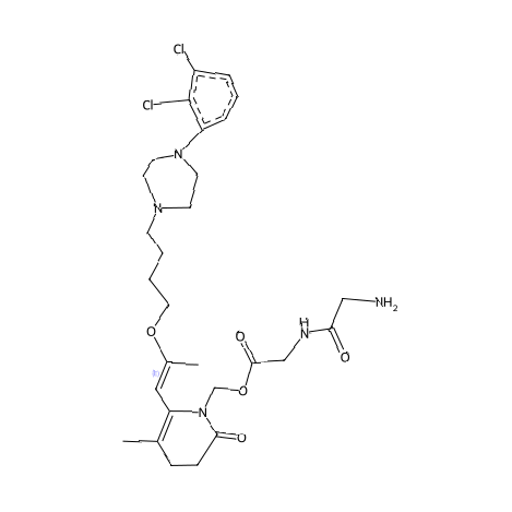 CC1=C(/C=C(\C)OCCCCN2CCN(c3cccc(Cl)c3Cl)CC2)N(COC(=O)CNC(=O)CN)C(=O)CC1